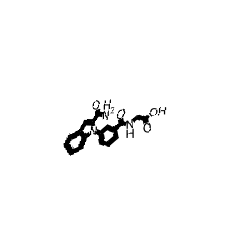 NC(=O)c1cc2ccccc2n1-c1cccc(C(=O)NCC(=O)O)c1